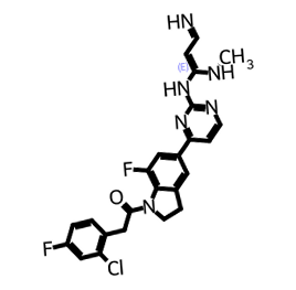 CN/C(=C\C=N)Nc1nccc(-c2cc(F)c3c(c2)CCN3C(=O)Cc2ccc(F)cc2Cl)n1